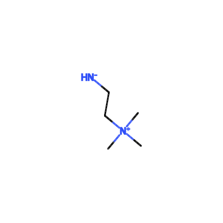 C[N+](C)(C)CC[NH-]